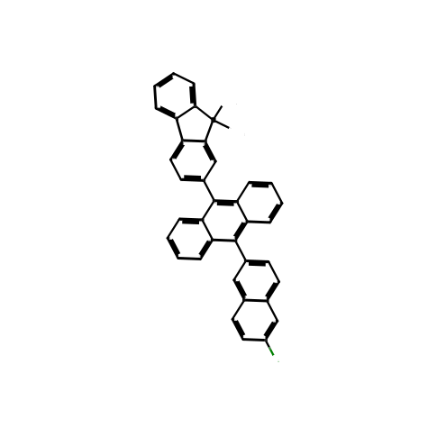 CC1(C)c2ccccc2-c2ccc(-c3c4ccccc4c(-c4ccc5cc(Br)ccc5c4)c4ccccc34)cc21